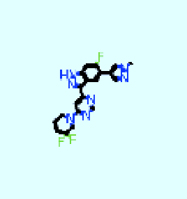 Cn1cc(-c2cc3c(-c4cc(N5CCCC(F)(F)C5)ncn4)n[nH]c3cc2F)cn1